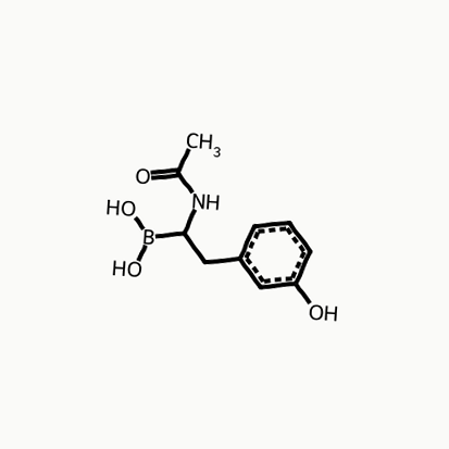 CC(=O)NC(Cc1cccc(O)c1)B(O)O